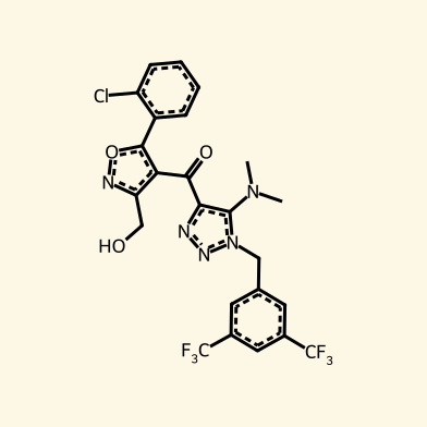 CN(C)c1c(C(=O)c2c(CO)noc2-c2ccccc2Cl)nnn1Cc1cc(C(F)(F)F)cc(C(F)(F)F)c1